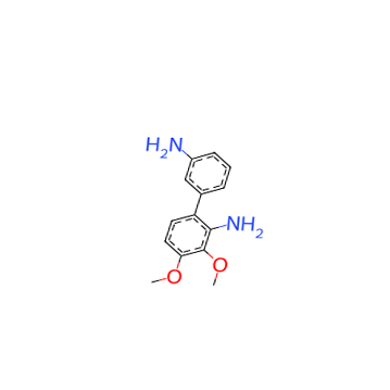 COc1ccc(-c2cccc(N)c2)c(N)c1OC